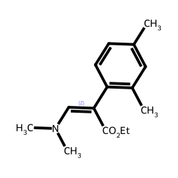 CCOC(=O)/C(=C\N(C)C)c1ccc(C)cc1C